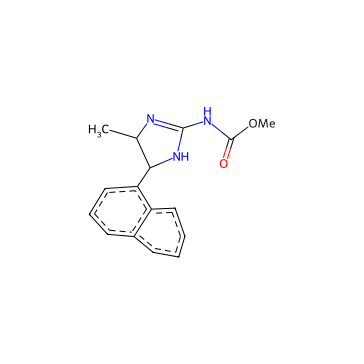 COC(=O)NC1=NC(C)C(c2cccc3ccccc23)N1